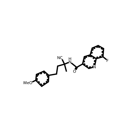 COc1ccc(CCC(C)(C#N)NC(=O)c2cnc3c(F)cccc3c2)cc1